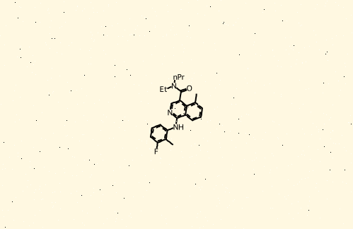 CCCN(CC)C(=O)c1cnc(Nc2cccc(F)c2C)c2cccc(C)c12